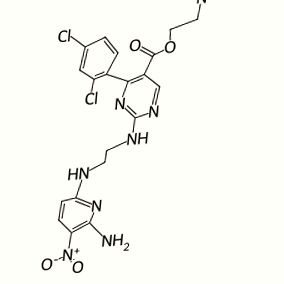 CN(C)CCOC(=O)c1cnc(NCCNc2ccc([N+](=O)[O-])c(N)n2)nc1-c1ccc(Cl)cc1Cl